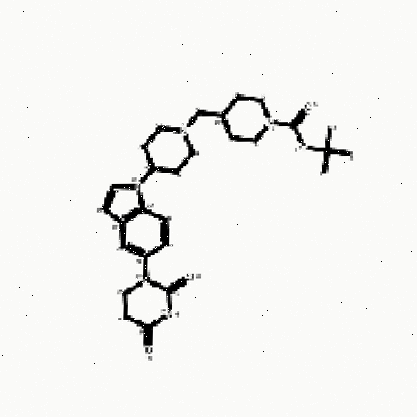 CC(C)(C)OC(=O)N1CCC(CN2CCC(n3ccc4cc(N5CCC(=O)NC5=O)ccc43)CC2)CC1